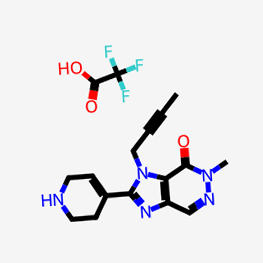 CC#CCn1c(C2=CCNCC2)nc2cnn(C)c(=O)c21.O=C(O)C(F)(F)F